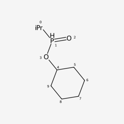 CC(C)[PH](=O)OC1CCCCC1